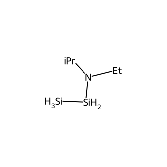 CCN([SiH2][SiH3])C(C)C